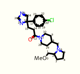 COCC1CCCN1CC1CCN(C(=O)CCC2(c3ccc(Cl)cc3)C=NC=N2)CC1